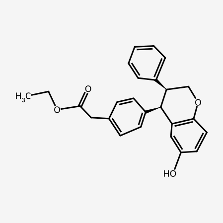 CCOC(=O)Cc1ccc([C@@H]2c3cc(O)ccc3OC[C@@H]2c2ccccc2)cc1